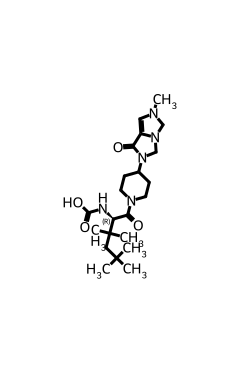 CN1C=C2C(=O)N(C3CCN(C(=O)[C@H](NC(=O)O)C(C)(C)CC(C)(C)C)CC3)CN2C1